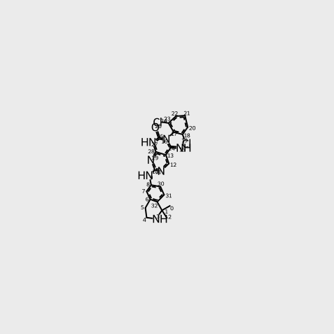 CC1(C)NCCc2cc(Nc3ncc4c(=N)n(-c5c(Cl)cccc5Cl)c(=O)[nH]c4n3)ccc21